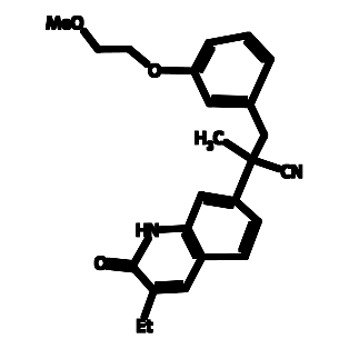 CCc1cc2ccc(C(C)(C#N)Cc3cccc(OCCOC)c3)cc2[nH]c1=O